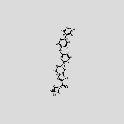 O=C(c1cn2c(n1)CN(c1nccc(Nc3ccc(-c4cn[nH]c4)cc3)n1)CC2)N1CC(F)(F)C1